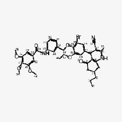 CCCC1CC(=O)C2=C(C1)NC(C)=C(C#N)C2c1cc(Br)c(OCc2cccc(NC(=O)c3cc(OC)c(OC)c(OC)c3)c2)c(OCC)c1